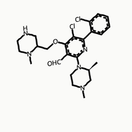 C[C@H]1CN(C)CCN1c1nc(-c2ccccc2Cl)c(Cl)c(OCC2CNCCN2C)c1C=O